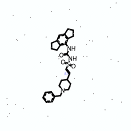 O=C(Nc1c2c(cc3c1CCC3)CCC2)NS(=O)(=O)/C=C/C1CCN(Cc2ccccc2)CC1